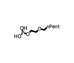 CCCCCCOCCOP(O)O